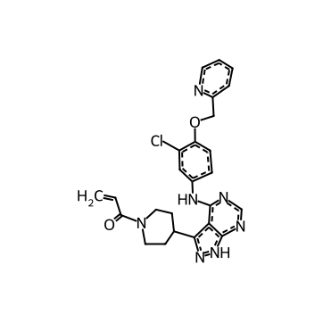 C=CC(=O)N1CCC(c2n[nH]c3ncnc(Nc4ccc(OCc5ccccn5)c(Cl)c4)c23)CC1